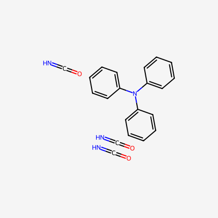 N=C=O.N=C=O.N=C=O.c1ccc(N(c2ccccc2)c2ccccc2)cc1